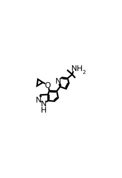 CC(C)(N)c1ccc(-c2ccc3[nH]ncc3c2OC2CC2)nc1